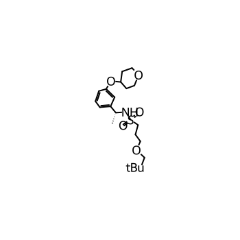 C[C@@H](NS(=O)(=O)CCCOCC(C)(C)C)c1cccc(OC2CCOCC2)c1